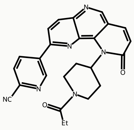 CCC(=O)N1CCC(n2c(=O)ccc3cnc4ccc(-c5ccc(C#N)nc5)nc4c32)CC1